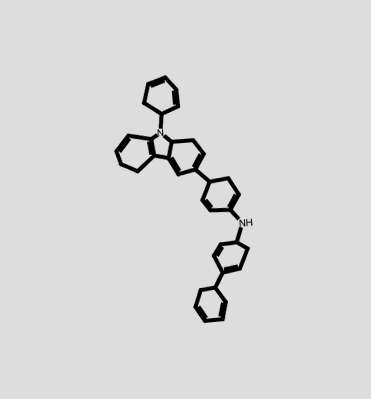 C1=CCC(C2=CCC(NC3=CCC(C4=CCC5C(=C4)C4=C(C=CCC4)N5C4C=CC=CC4)C=C3)C=C2)C=C1